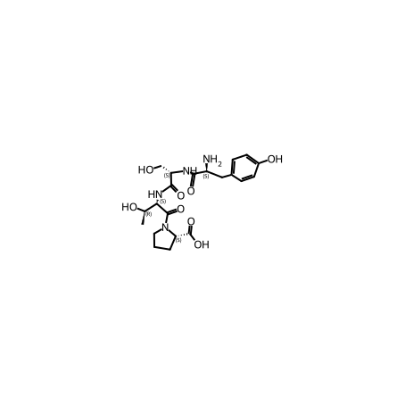 C[C@@H](O)[C@H](NC(=O)[C@H](CO)NC(=O)[C@@H](N)Cc1ccc(O)cc1)C(=O)N1CCC[C@H]1C(=O)O